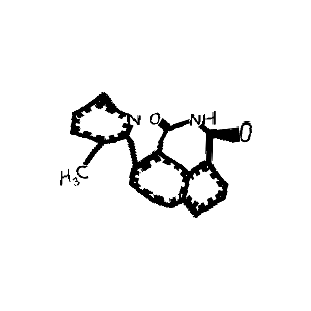 Cc1cccnc1-c1ccc2cccc3c2c1C(=O)NC3=O